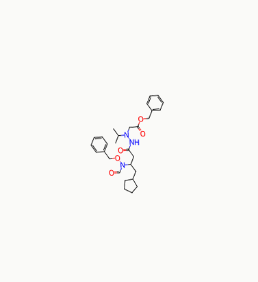 CC(C)N(CC(=O)OCc1ccccc1)NC(=O)CC(CC1CCCC1)N(C=O)OCc1ccccc1